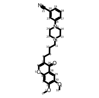 COc1cc2occ(CCCCN3CCN(c4cccc(C#N)c4)CC3)c(=O)c2cc1OC